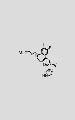 COCCC[C@H]1CCC=C(CN(C(=O)[C@H]2CNCCO2)C2CC2)c2cc(F)c(F)cc21